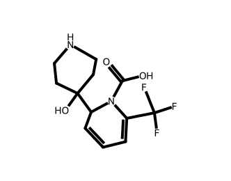 O=C(O)N1C(C(F)(F)F)=CC=CC1C1(O)CCNCC1